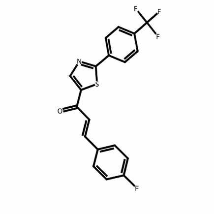 O=C(C=Cc1ccc(F)cc1)c1[c]nc(-c2ccc(C(F)(F)F)cc2)s1